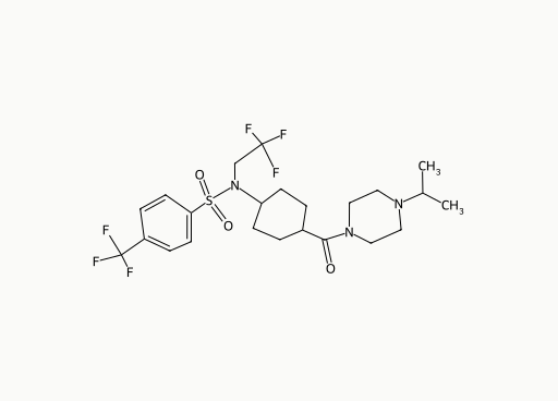 CC(C)N1CCN(C(=O)C2CCC(N(CC(F)(F)F)S(=O)(=O)c3ccc(C(F)(F)F)cc3)CC2)CC1